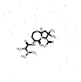 CC(=O)[C@H]1N2C(=O)[C@@H](NC(=O)[C@H](C)N(C)C)CCS[C@H]2CC1(C)C